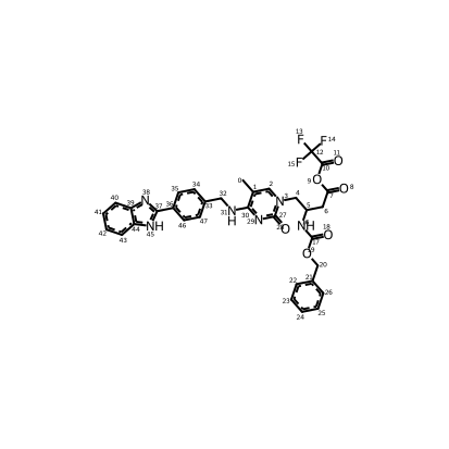 Cc1cn(CC(CC(=O)OC(=O)C(F)(F)F)NC(=O)OCc2ccccc2)c(=O)nc1NCc1ccc(-c2nc3ccccc3[nH]2)cc1